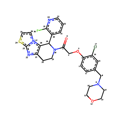 O=C(COc1ccc(CN2CCOCC2)cc1Cl)N1CCc2nc3sccn3c2C1c1cccnc1F